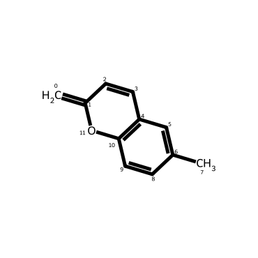 C=C1C=Cc2cc(C)ccc2O1